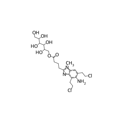 Cn1c(CCCC(=O)OCC(O)C(O)C(O)C(O)CO)nc2c(CCCl)c(N)c(CCCl)cc21